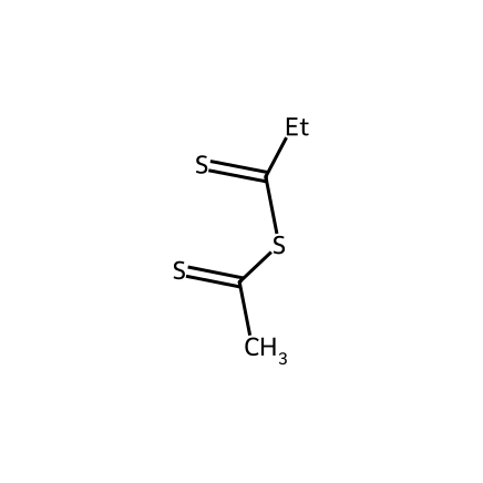 CCC(=S)SC(C)=S